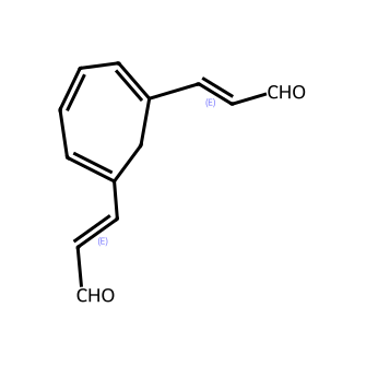 O=C/C=C/C1=CC=CC=C(/C=C/C=O)C1